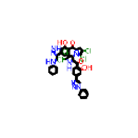 N=N/C(=C\Nc1ccccc1)c1ccc(C(=O)c2cc(Cl)c(Cl)n2-c2c(C(=O)c3ccc(-c4cn(-c5ccccc5)nn4)cc3O)[nH]c(Cl)c2Cl)c(O)c1